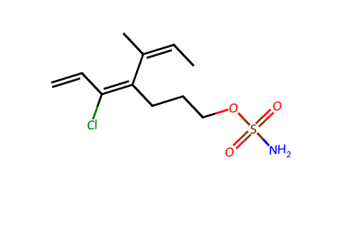 C=C/C(Cl)=C(CCCOS(N)(=O)=O)\C(C)=C/C